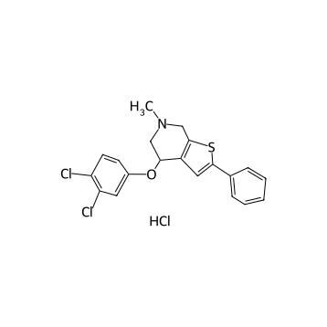 CN1Cc2sc(-c3ccccc3)cc2C(Oc2ccc(Cl)c(Cl)c2)C1.Cl